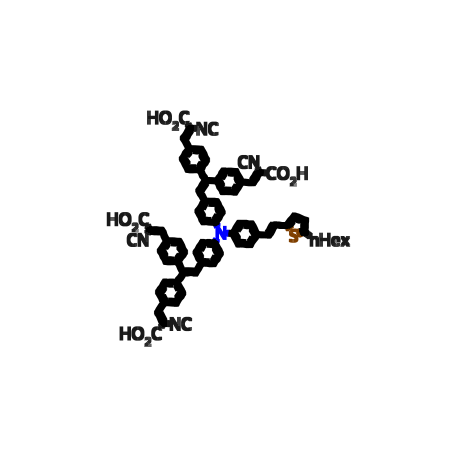 [C-]#[N+]/C(=C\c1ccc(C(=Cc2ccc(N(c3ccc(C=C(c4ccc(/C=C(\[N+]#[C-])C(=O)O)cc4)c4ccc(/C=C(\[N+]#[C-])C(=O)O)cc4)cc3)c3ccc(/C=C/c4ccc(CCCCCC)s4)cc3)cc2)c2ccc(/C=C(\[N+]#[C-])C(=O)O)cc2)cc1)C(=O)O